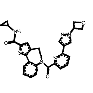 O=C(NC1CC1)c1cc2c(s1)-c1ccccc1N(C(=O)c1cccc(-c3cnn(C4COC4)c3)n1)CC2